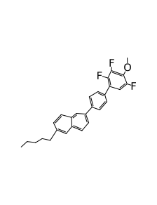 CCCCCc1ccc2cc(-c3ccc(-c4cc(F)c(OC)c(F)c4F)cc3)ccc2c1